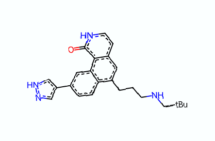 CC(C)(C)CNCCCc1cc2cc[nH]c(=O)c2c2cc(-c3cn[nH]c3)ccc12